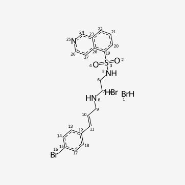 Br.Br.O=S(=O)(NCCNC/C=C/c1ccc(Br)cc1)c1cccc2cnccc12